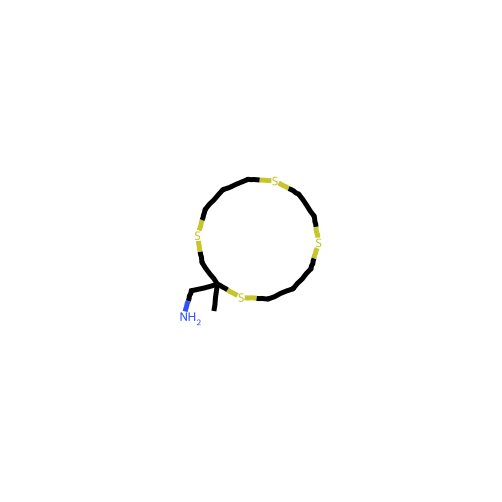 CC1(CN)CSCCCSCCSCCCS1